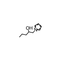 CCCC(O)Cn1cccc1